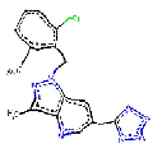 Cc1cccc(Cl)c1Cn1nc(C)c2ncc(-c3nnn[nH]3)cc21